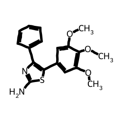 COc1cc(-c2sc(N)nc2-c2ccccc2)cc(OC)c1OC